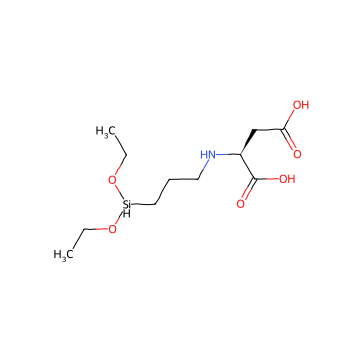 CCO[SiH](CCCN[C@@H](CC(=O)O)C(=O)O)OCC